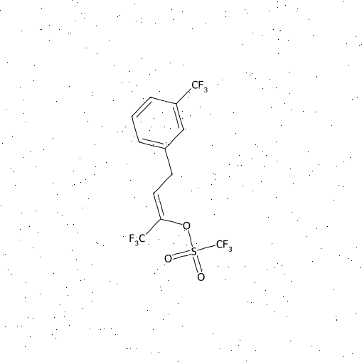 O=S(=O)(OC(=CCc1cccc(C(F)(F)F)c1)C(F)(F)F)C(F)(F)F